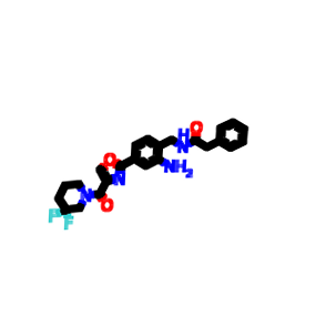 Nc1cc(-c2nc(C(=O)N3CCCC(F)(F)C3)co2)ccc1CNC(=O)Cc1ccccc1